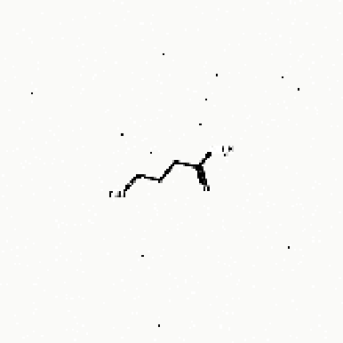 CCCCCCCC(=O)C(=O)O